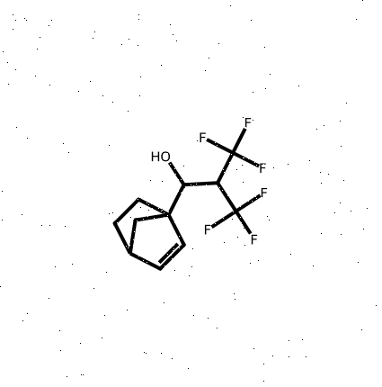 OC(C(C(F)(F)F)C(F)(F)F)C12C=CC(CC1)C2